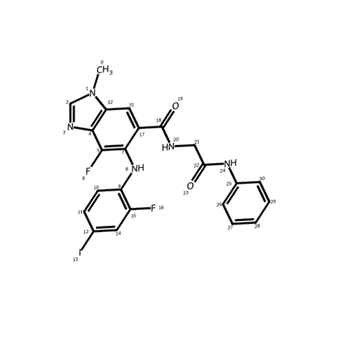 Cn1cnc2c(F)c(Nc3ccc(I)cc3F)c(C(=O)NCC(=O)Nc3ccccc3)cc21